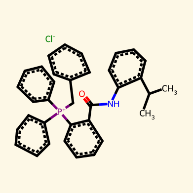 CC(C)c1ccccc1NC(=O)c1ccccc1[P+](Cc1ccccc1)(c1ccccc1)c1ccccc1.[Cl-]